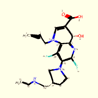 C=CCN1C=C(C(=O)O)[C@H](O)C2=NC(F)C(N3CC[C@H](CNCC)C3)C(F)=C21